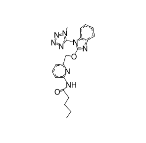 CCCCC(=O)Nc1cccc(COc2nc3ccccc3n2-c2nnnn2C)n1